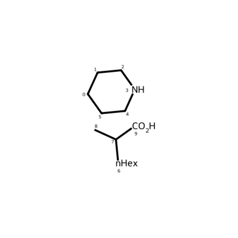 C1CCNCC1.CCCCCCC(C)C(=O)O